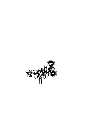 Cc1nsc(SCC2=C(C(=O)O)N3C(=O)C(NC(=O)C(OC(=O)c4ccccn4)c4ccccc4)[C@H]3SC2)n1